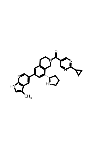 Cc1c[nH]c2ncc(-c3cc4c(c([C@@H]5CCCN5)c3)CN(C(=O)c3cnc(C5CC5)nc3)CC4)cc12